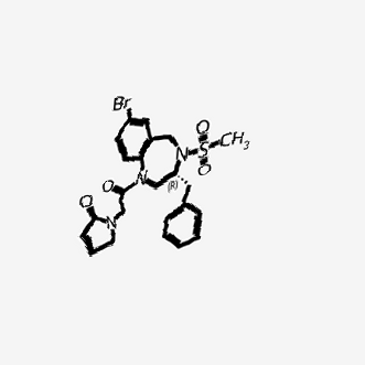 CS(=O)(=O)N1Cc2cc(Br)ccc2N(C(=O)CN2CCCC2=O)C[C@H]1Cc1ccccc1